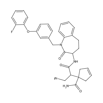 CC(C)CC(C(=O)NC1CCc2ccccc2N(Cc2cccc(Oc3ccccc3F)c2)C1=O)C1(C(N)=O)CC=CC1